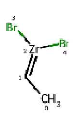 C[CH]=[Zr]([Br])[Br]